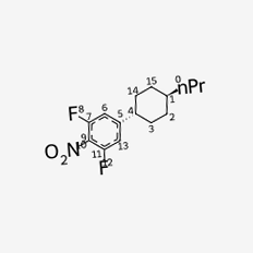 CCC[C@H]1CC[C@H](c2cc(F)c([N+](=O)[O-])c(F)c2)CC1